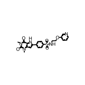 Cn1c(=O)c2[nH]c(-c3ccc(S(=O)(=O)NCCOc4cccnc4)cc3)cc2n(C)c1=O